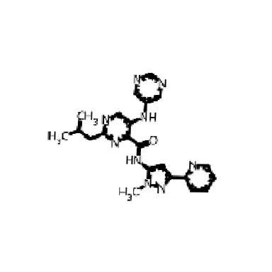 CC(C)Cc1ncc(Nc2cncnc2)c(C(=O)Nc2cc(-c3ccccn3)nn2C)n1